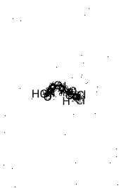 Cc1cc(Oc2ccc3cc(C(=O)O)n(C)c3c2)ncc1NCS(=O)(=O)c1ccc(Cl)c(Cl)c1